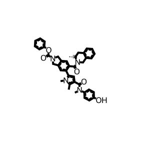 Cc1c(C(=O)N(C)c2ccc(O)cc2)cc(-c2cc3c(cc2C(=O)N2Cc4ccccc4C[C@H]2C)CN(C(=O)Oc2ccccc2)C3)n1C